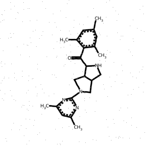 Cc1cc(C)c(C(=O)C2NCC3CN(c4nc(C)cc(C)n4)CC32)c(C)c1